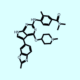 Cc1nc2ccc(-c3c[nH]c4nc(Nc5ccc(C(=O)N(C)C)cc5C)nc(OC5CCN(C)CC5)c34)cc2o1